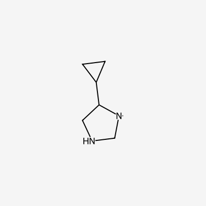 C1[N]C(C2CC2)CN1